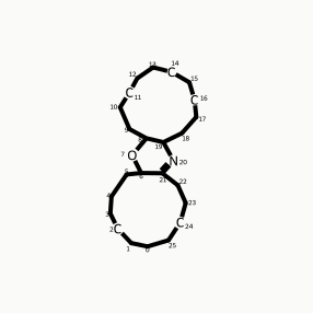 C1CCCCCC2OC3CCCCCCCCCCC3N=C2CCCC1